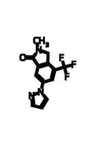 CN1Cc2c(cc(-n3cccn3)cc2C(F)(F)F)C1=O